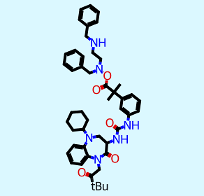 CC(C)(C)C(=O)CN1C(=O)C(NC(=O)Nc2cccc(C(C)(C)C(=O)ON(CCNCc3ccccc3)Cc3ccccc3)c2)CN(C2CCCCC2)c2ccccc21